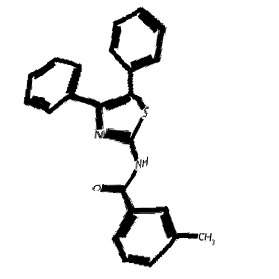 Cc1cccc(C(=O)Nc2nc(-c3ccccc3)c(-c3ccccc3)s2)c1